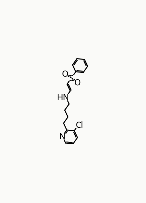 O=S(=O)(C=CNCCCCc1ncccc1Cl)c1ccccc1